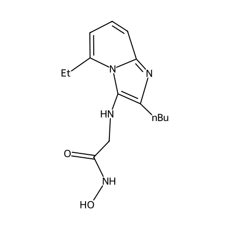 CCCCc1nc2cccc(CC)n2c1NCC(=O)NO